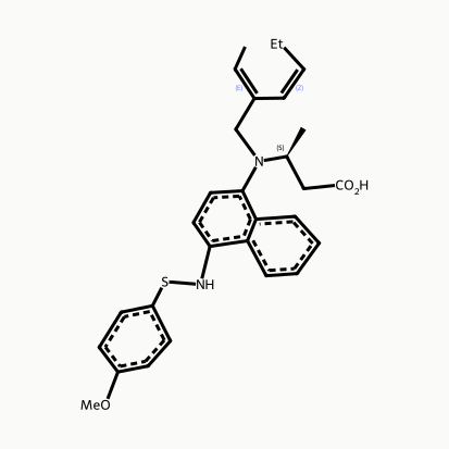 C/C=C(\C=C/CC)CN(c1ccc(NSc2ccc(OC)cc2)c2ccccc12)[C@@H](C)CC(=O)O